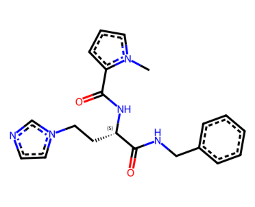 Cn1cccc1C(=O)N[C@@H](CCn1ccnc1)C(=O)NCc1ccccc1